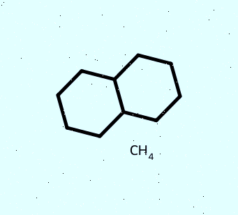 C.C1CCC2CCCCC2C1